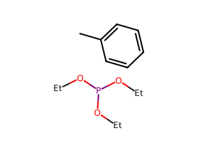 CCOP(OCC)OCC.Cc1ccccc1